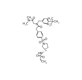 C=CS(=O)(=O)NC[C@H]1CCN(S(=O)(=O)c2ccc(CC(=O)N(CC(=O)N(C)C)Cc3ccc(C(C)(C)C)cc3)cc2)C1